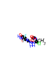 Cc1c(Cl)cc(NC(=O)NC2CN(c3cc(F)c(C4CCC(=O)NC4=O)c(F)c3)C2)cc1CN1CC2CC1CO2